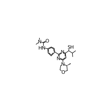 CC(C)C(S)c1cc(N2CCOC[C@@H]2C)nc(-c2ccc(NC(=O)N(C)C)cc2)n1